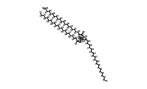 CCCCCCCCCCCCCCCCCCCCCC(C)OP(=O)(OC(C)CCCCCCCCCCCCCCCCCCCCC)OC(C)CCCCCCCCCCCCCCCCCCCCC